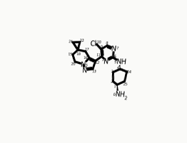 N[C@H]1CC[C@H](Nc2ncc(Cl)c(-c3cnn4c3CC3(CC4)CC3)n2)CC1